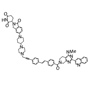 CNc1nc(-c2cnc3ccccc3c2)nc2c1CCN(C(=O)c1ccc(/C=C/c3ccc(C#CCN4CCN(C5CCN(c6ccc7c(c6)CN(C6CCC(=O)NC6=O)C7=O)CC5)CC4)cc3)cc1)C2